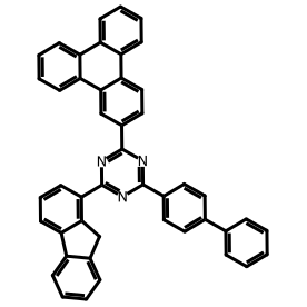 c1ccc(-c2ccc(-c3nc(-c4ccc5c6ccccc6c6ccccc6c5c4)nc(-c4cccc5c4Cc4ccccc4-5)n3)cc2)cc1